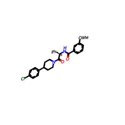 COc1cccc(C(=O)N[C@@H](C(=O)N2CCC(c3ccc(Cl)cc3)CC2)C(C)C)c1